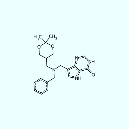 CC1(C)OCC(CN(Cc2ccccc2)Cc2c[nH]c3c(=O)[nH]cnc23)CO1